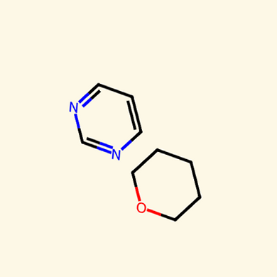 C1CCOCC1.c1cncnc1